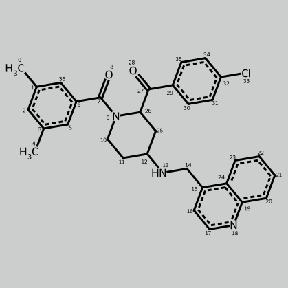 Cc1cc(C)cc(C(=O)N2CCC(NCc3ccnc4ccccc34)CC2C(=O)c2ccc(Cl)cc2)c1